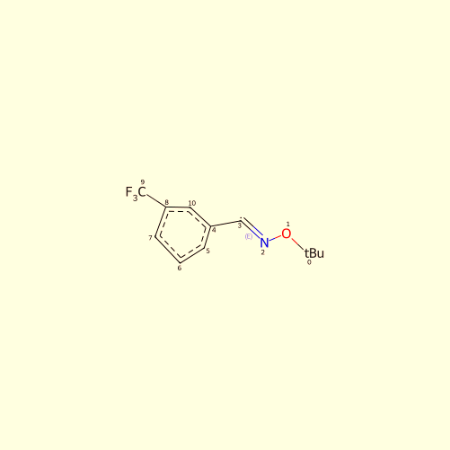 CC(C)(C)O/N=[C]/c1cccc(C(F)(F)F)c1